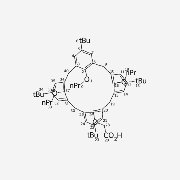 CCCOc1c2cc(C(C)(C)C)cc1Cc1cc(C(C)(C)C)cc(c1OCCC)Cc1cc(C(C)(C)C)cc(c1OCC(=O)O)Cc1cc(C(C)(C)C)cc(c1OCCC)C2